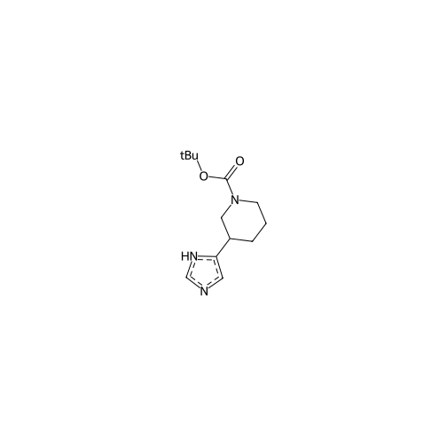 CC(C)(C)OC(=O)N1CCCC(c2cnc[nH]2)C1